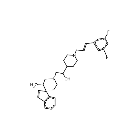 C[C@@H]1CN(CC(O)C2CCN(C/C=C/c3cc(F)cc(F)c3)CC2)CC[C@]12C=Cc1ccccc12